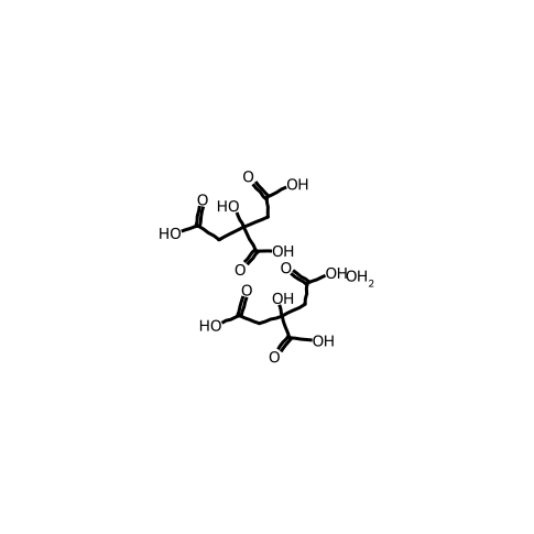 O.O=C(O)CC(O)(CC(=O)O)C(=O)O.O=C(O)CC(O)(CC(=O)O)C(=O)O